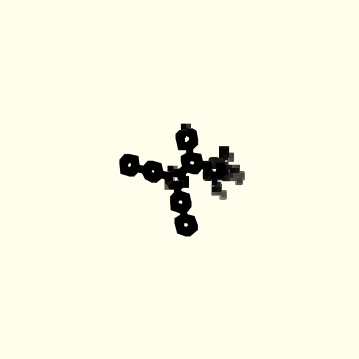 CC1(C)OB(c2cc(-c3ccncc3)cc(-c3nc(-c4ccc(-c5ccccc5)cc4)nc(-c4ccc(-c5ccccc5)cc4)n3)c2)OC1(C)C